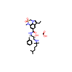 CCc1cn2c3c(cc(C(=O)N[C@@H](Cc4ccccc4)[C@H](O)CNC(C)(C)CCCC(C)C)cc13)N(C)S(=O)(=O)C2.O=CO